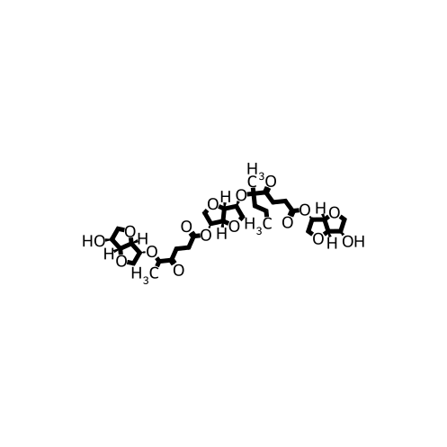 CCCC(C)(O[C@H]1CO[C@H]2[C@@H]1OC[C@H]2OC(=O)CCC(=O)C(C)O[C@@H]1CO[C@H]2[C@@H]1OC[C@@H]2O)C(=O)CCC(=O)O[C@H]1CO[C@@H]2[C@H]1OC[C@H]2O